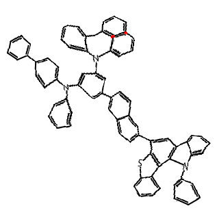 c1ccc(-c2ccc(N(c3ccccc3)c3cc(-c4ccc5cc(-c6cc7c8ccccc8n(-c8ccccc8)c7c7c6sc6ccccc67)ccc5c4)cc(N(c4ccccc4)c4ccccc4-c4ccccc4)c3)cc2)cc1